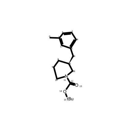 Cc1cccc(C[C@@H]2CCCN(C(=O)OC(C)(C)C)C2)c1